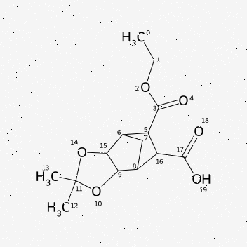 CCOC(=O)C1C2CC(C3OC(C)(C)OC23)C1C(=O)O